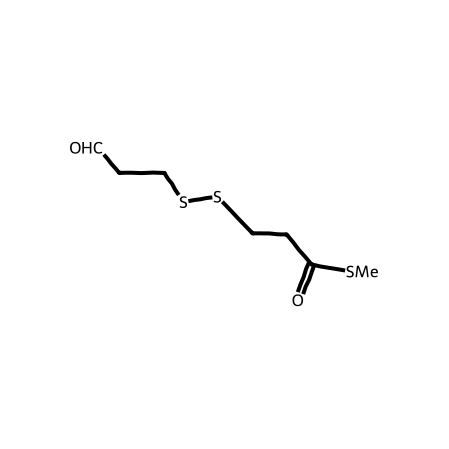 CSC(=O)CCSSCCC=O